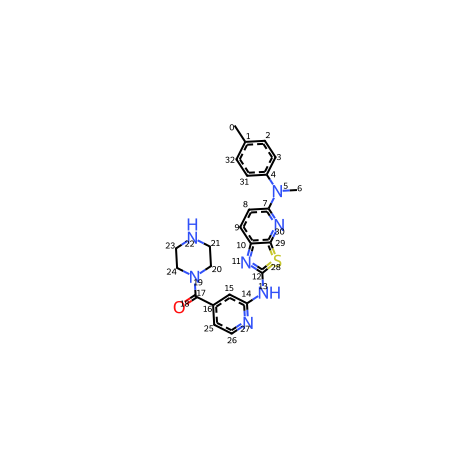 Cc1ccc(N(C)c2ccc3nc(Nc4cc(C(=O)N5CCNCC5)ccn4)sc3n2)cc1